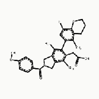 COc1ccc(C(=O)N2Cc3c(C)c(CC(=O)O)c(-c4cc(F)c5c(c4C)CCCO5)c(C)c3C2)cc1